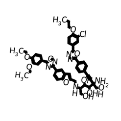 CCCOc1ccc(-c2nnc(-c3ccc(C#CC(N)(CO)C(O)C(O)C(CO)NCc4cc5cc(-c6noc(-c7ccc(OCC)c(OCC)c7)n6)ccc5o4)cc3)o2)cc1Cl